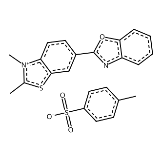 Cc1ccc(S(=O)(=O)[O-])cc1.Cc1sc2cc(-c3nc4ccccc4o3)ccc2[n+]1C